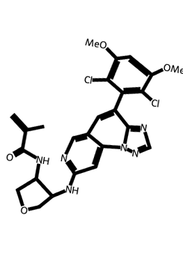 C=C(C)C(=O)NC1COCC1Nc1cc2c(cn1)cc(-c1c(Cl)c(OC)cc(OC)c1Cl)c1ncnn12